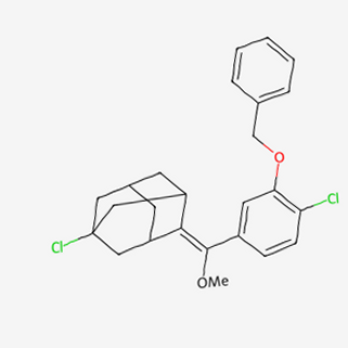 COC(=C1C2CC3CC1CC(Cl)(C3)C2)c1ccc(Cl)c(OCc2ccccc2)c1